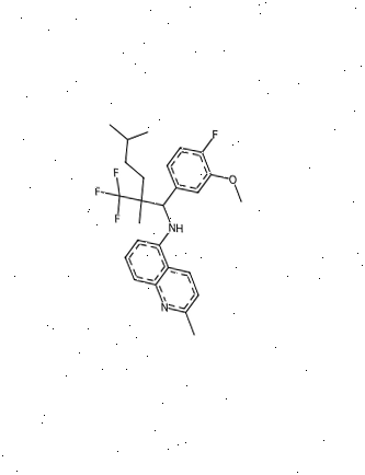 COc1cc(C(Nc2cccc3nc(C)ccc23)C(C)(CCC(C)C)C(F)(F)F)ccc1F